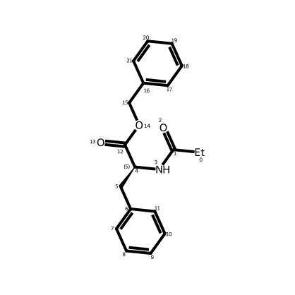 CCC(=O)N[C@@H](Cc1ccccc1)C(=O)OCc1ccccc1